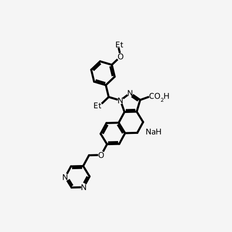 CCOc1cccc(C(CC)n2nc(C(=O)O)c3c2-c2ccc(OCc4cncnc4)cc2CC3)c1.[NaH]